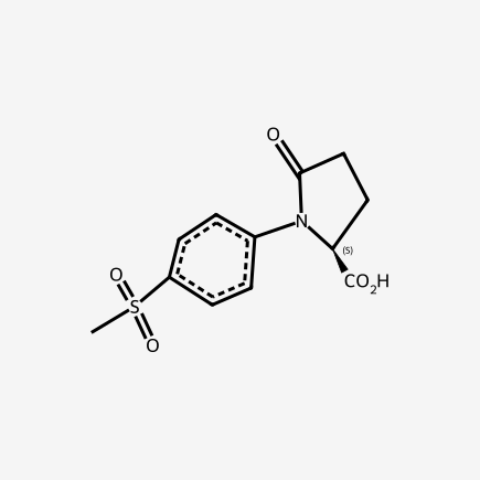 CS(=O)(=O)c1ccc(N2C(=O)CC[C@H]2C(=O)O)cc1